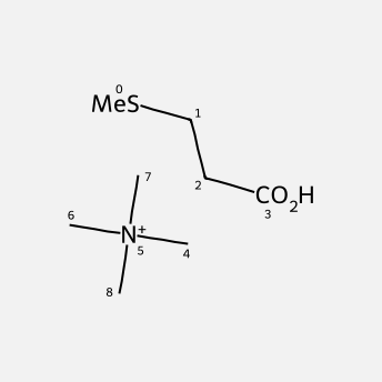 CSCCC(=O)O.C[N+](C)(C)C